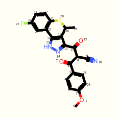 COc1ccc(C(=O)C(C#N)C(=O)c2n[nH]c3c2C(C)Sc2ccc(F)cc2-3)cc1